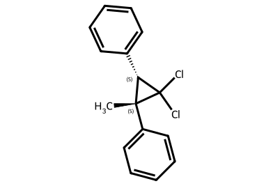 C[C@@]1(c2ccccc2)[C@H](c2ccccc2)C1(Cl)Cl